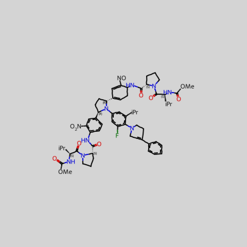 COC(=O)N[C@H](C(=O)N1CCC[C@H]1C(=O)Nc1ccc([C@H]2CC[C@H](C3=CCC(NC(=O)[C@@H]4CCCN4C(=O)[C@@H](NC(=O)OC)C(C)C)C(N=O)=C3)N2c2cc(F)c(N3CC=C(c4ccccc4)CC3)c(C(C)C)c2)cc1[N+](=O)[O-])C(C)C